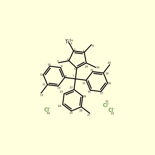 CC1=[C]([Ti+3])C(C)C(C(c2cccc(C)c2)(c2cccc(C)c2)c2cccc(C)c2)=C1C.[Cl-].[Cl-].[Cl-]